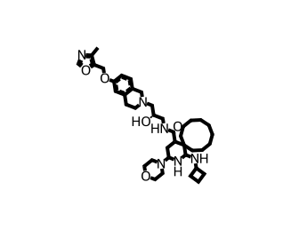 Cc1ncoc1COc1ccc2c(c1)CCN(C[C@@H](O)CNC(=O)C1CC(N3CCOCC3)NC(NC3CCC3)C13CCCCCCCCC3)C2